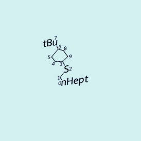 CCCCCCCCSC1CCC(C(C)(C)C)CC1